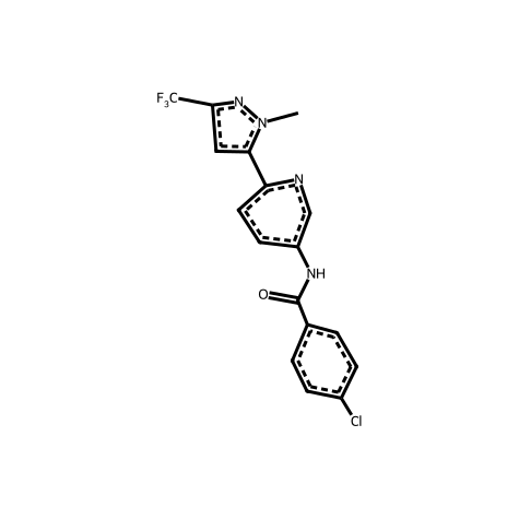 Cn1nc(C(F)(F)F)cc1-c1ccc(NC(=O)c2ccc(Cl)cc2)cn1